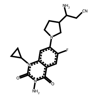 N#CCC(N)C1CCN(c2cc3c(cc2F)c(=O)n(N)c(=O)n3C2CC2)C1